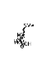 CSCCCNOP(=O)(O)CP(=O)(O)O